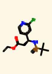 C#[SH](N[C@@H](CC(=O)OCC)c1ccnc(Br)c1)C(C)(C)C